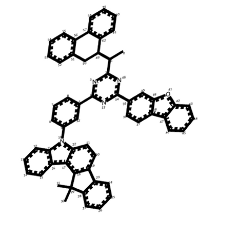 CC(c1nc(-c2cccc(-n3c4ccccc4c4c5c(ccc43)-c3ccccc3C5(C)C)c2)nc(-c2ccc3c(c2)oc2ccccc23)n1)C1Cc2ccccc2-c2ccccc21